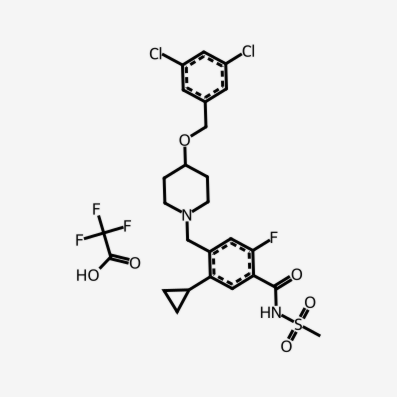 CS(=O)(=O)NC(=O)c1cc(C2CC2)c(CN2CCC(OCc3cc(Cl)cc(Cl)c3)CC2)cc1F.O=C(O)C(F)(F)F